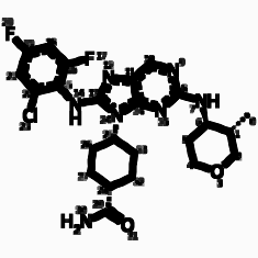 C[C@@H]1COCC[C@H]1Nc1ncc2nc(Nc3c(F)cc(F)cc3Cl)n([C@H]3CC[C@@H](C(N)=O)CC3)c2n1